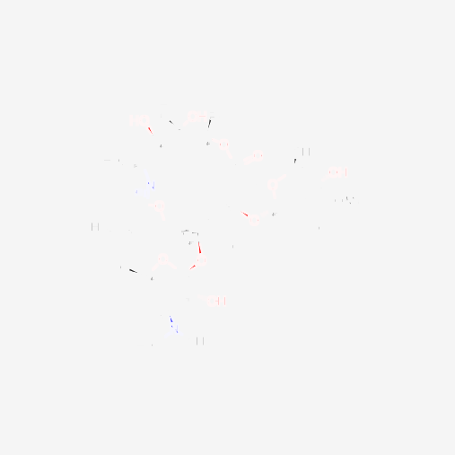 CC[C@H]1OC(=O)[C@H](C)[C@@H](O[C@H]2C[C@@](C)(OC)[C@@H](O)[C@H](C)O2)[C@H](C)[C@@H](O[C@@H]2O[C@H](C)C[C@H](N(C)C)[C@H]2O)[C@@]2(C)C[C@H](C)/C(=N\[C@H](C)[C@@H](O)[C@]1(C)O)O2